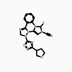 N#CN1C=C2N(c3ccccc3C3=NCN(c4nc(C5CCOC5)no4)N23)C1F